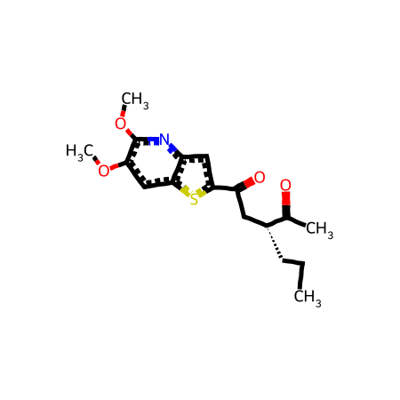 CCC[C@H](CC(=O)c1cc2nc(OC)c(OC)cc2s1)C(C)=O